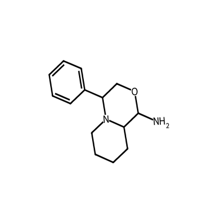 NC1OCC(c2ccccc2)N2CCCCC12